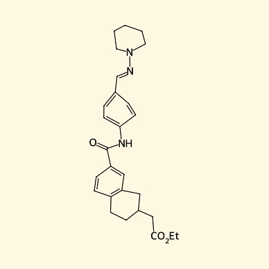 CCOC(=O)CC1CCc2ccc(C(=O)Nc3ccc(/C=N/N4CCCCC4)cc3)cc2C1